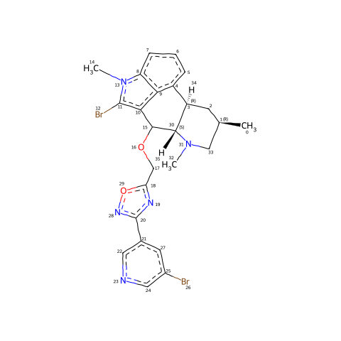 C[C@@H]1C[C@@H]2c3cccc4c3c(c(Br)n4C)C(OCc3nc(-c4cncc(Br)c4)no3)[C@H]2N(C)C1